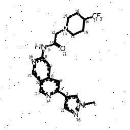 Cn1cc(-c2cc3cc(NC(=O)CN4CCC(C(F)(F)F)CC4)ncc3cn2)cn1